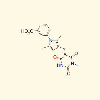 Cc1cc(/C=C2\C(=O)NC(=O)N(C)C2=O)c(C)n1-c1cccc(C(=O)O)c1